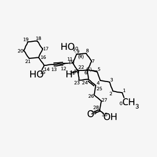 CCCCCC[C@]12CC[C@@H](O)[C@H](C#CC(O)C3CCCCC3)[C@H]1CC2=CCCC(=O)O